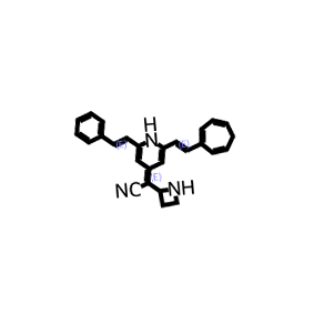 N#C/C(=C1C=C(/C=C/C2=CC=CCC=C2)NC(/C=C/c2ccccc2)=C/1)C1CCN1